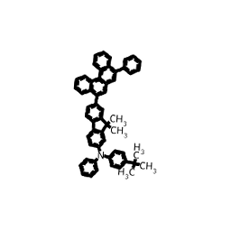 CC(C)(C)c1ccc(N(c2ccccc2)c2ccc3c(c2)C(C)(C)c2cc(-c4cc5cc(-c6ccccc6)c6ccccc6c5c5ccccc45)ccc2-3)cc1